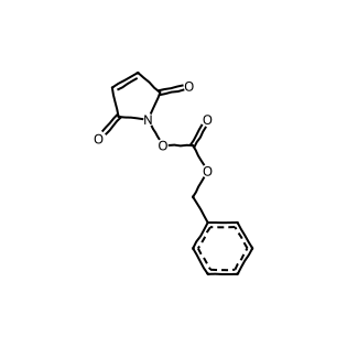 O=C(OCc1ccccc1)ON1C(=O)C=CC1=O